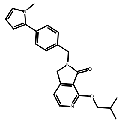 CC(C)COc1nccc2c1C(=O)N(Cc1ccc(-c3cccn3C)cc1)C2